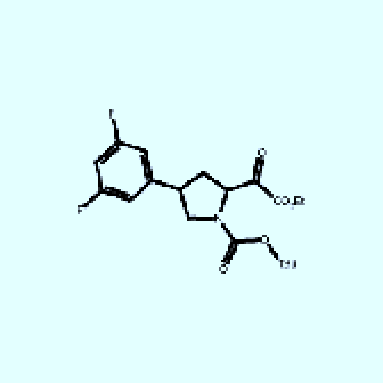 CCOC(=O)C(=O)C1CC(c2cc(F)cc(F)c2)CN1C(=O)OC(C)(C)C